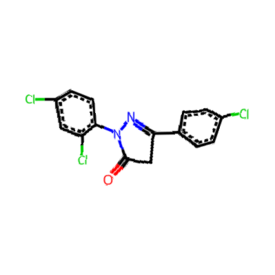 O=C1CC(c2ccc(Cl)cc2)=NN1c1ccc(Cl)cc1Cl